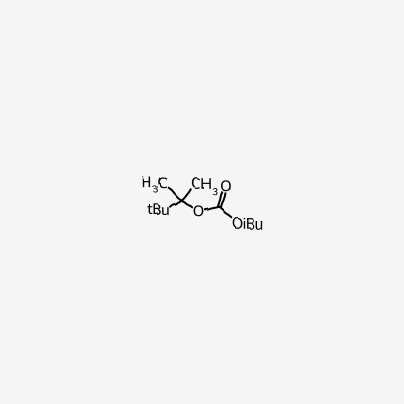 CC(C)COC(=O)OC(C)(C)C(C)(C)C